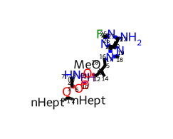 CCCCCCCC(CCCCCCC)OC(=O)[C@H](C)N[PH](=O)OC[C@](C)(CCn1cnc2c(N)nc(F)nc21)OC